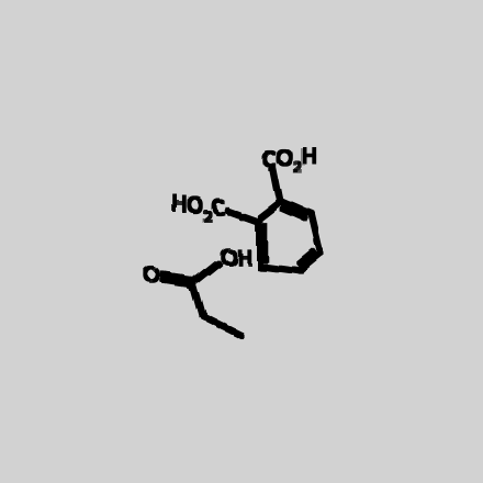 CCC(=O)O.O=C(O)c1ccccc1C(=O)O